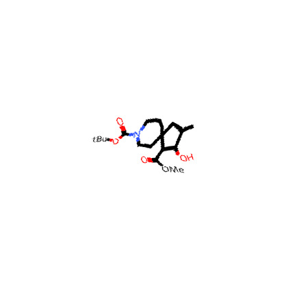 COC(=O)C1C(O)C(C)CC12CCN(C(=O)OC(C)(C)C)CC2